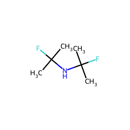 CC(C)(F)NC(C)(C)F